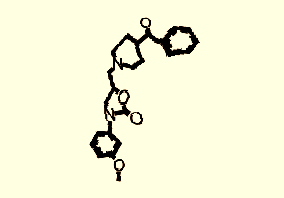 COc1cccc(N2CC(CN3CCC(C(=O)c4ccccc4)CC3)OC2=O)c1